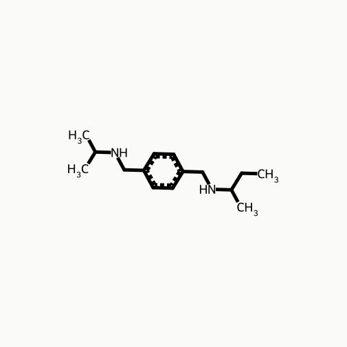 CCC(C)NCc1ccc(CNC(C)C)cc1